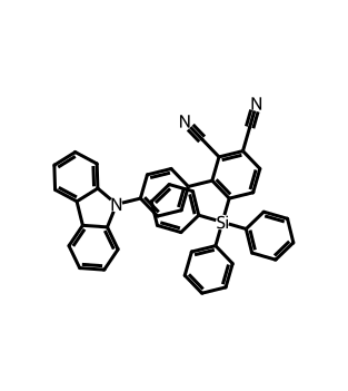 N#Cc1ccc([Si](c2ccccc2)(c2ccccc2)c2ccccc2)c(-c2ccc(-n3c4ccccc4c4ccccc43)cc2)c1C#N